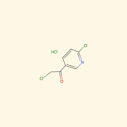 Cl.O=C(CCl)c1ccc(Cl)nc1